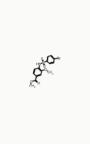 COC(=O)c1ccc(NS(=O)(=O)c2ccc(Br)cc2)c(OC)c1